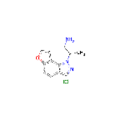 CC(CN)n1ncc2ccc3occc3c21.Cl